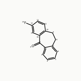 O=C1c2ccccc2CCc2ccc(F)cc21